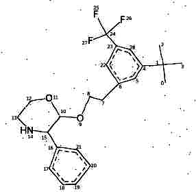 CC(C)(C)c1cc(CCOC2OCCNC2c2ccccc2)cc(C(F)(F)F)c1